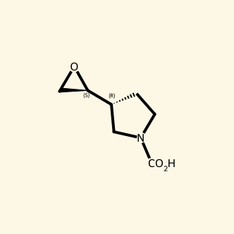 O=C(O)N1CC[C@@H]([C@H]2CO2)C1